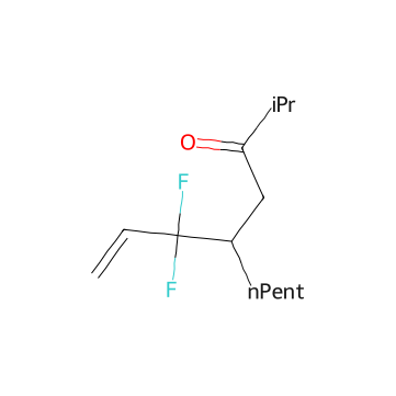 C=CC(F)(F)C(CCCCC)CC(=O)C(C)C